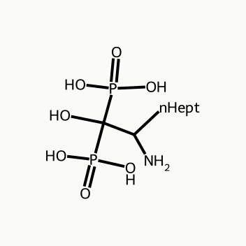 CCCCCCCC(N)C(O)(P(=O)(O)O)P(=O)(O)O